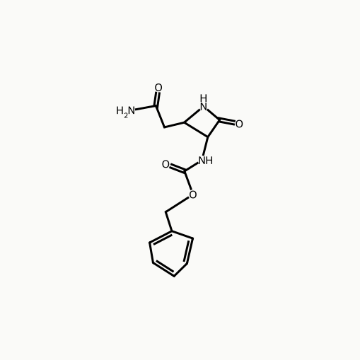 NC(=O)CC1NC(=O)C1NC(=O)OCc1ccccc1